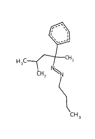 CCCCN=NC(C)(CC(C)C)c1ccccc1